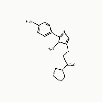 Cc1ccc(-c2nnc(SCC(=O)N3CCCC3)n2N)cc1